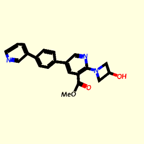 COC(=O)c1cc(-c2ccc(-c3cccnc3)cc2)cnc1N1CC(O)C1